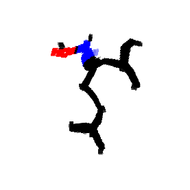 CC(C)CC/C(=N\O)C(C)C